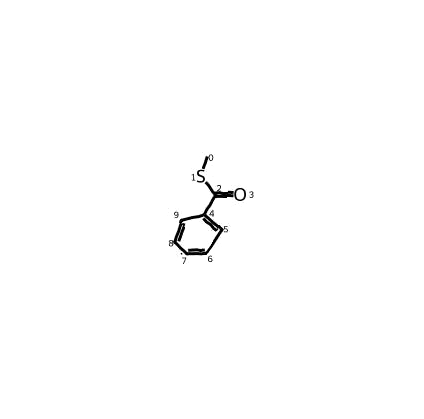 CSC(=O)c1cc[c]cc1